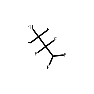 [2H]C(F)(F)C(F)(F)C(F)F